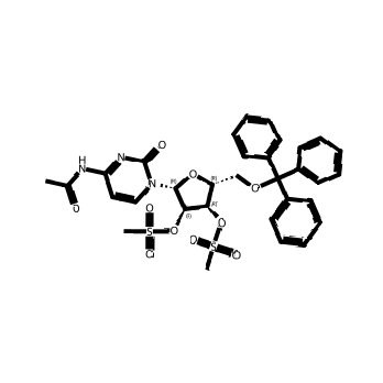 CC(=O)Nc1ccn([C@@H]2O[C@H](COC(c3ccccc3)(c3ccccc3)c3ccccc3)[C@@H](OS(C)(=O)=O)[C@H]2OS(C)(=O)=O)c(=O)n1